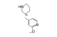 COc1cc(C[C@H]2CCCNC2)ccn1